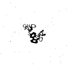 CCN(CC)OC(=O)c1ccccc1-c1cccc(Sc2cc(OC)nc(OC)n2)c1